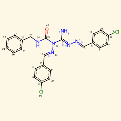 N/C(=N\N=C\c1ccc(Cl)cc1)N(/N=C/c1ccc(Cl)cc1)C(=O)NCc1ccccc1